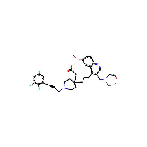 COc1ccc2ncc(CN3CCOCC3)c([C@H](F)CCC3(CC(=O)O)CCN(CC#Cc4cc(F)cc(F)c4F)CC3)c2c1